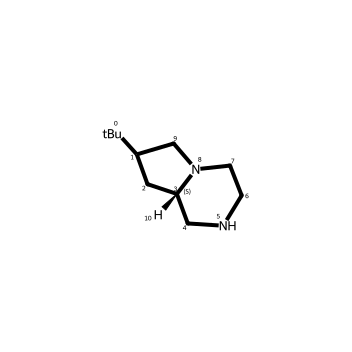 CC(C)(C)C1C[C@H]2CNCCN2C1